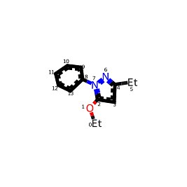 CCOc1cc(CC)nn1-c1ccccc1